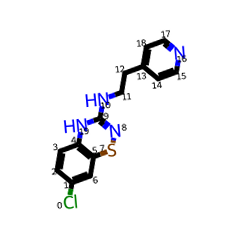 Clc1ccc2c(c1)SN=C(NCCc1ccncc1)N2